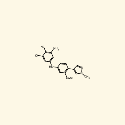 COc1cc(Nc2cc(N)c(C#N)c(Cl)n2)ccc1-c1cnn(C)c1